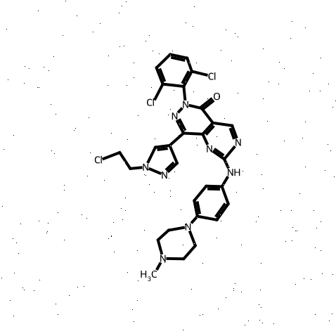 CN1CCN(c2ccc(Nc3ncc4c(=O)n(-c5c(Cl)cccc5Cl)nc(-c5cnn(CCCl)c5)c4n3)cc2)CC1